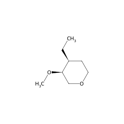 CC[C@H]1CCOC[C@H]1OC